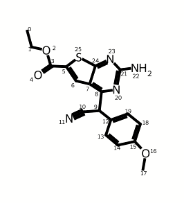 CCOC(=O)c1cc2c(C(C#N)c3ccc(OC)cc3)nc(N)nc2s1